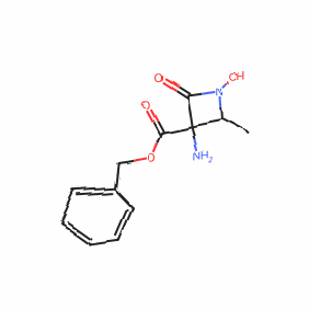 CC1N(O)C(=O)C1(N)C(=O)OCc1ccccc1